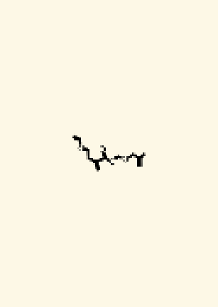 C=COCCC(=C)C(=O)OCOCC(=C)C